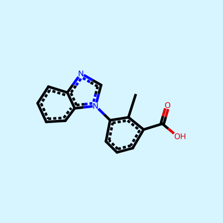 Cc1c(C(=O)O)cccc1-n1cnc2ccccc21